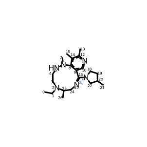 CCN1CCNN(C)c2c(cnc(C)c2C)/C(N2CCC(C)C2)=N\CC1C